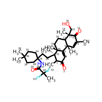 CC1C(=O)C=C2[C@@]3(C)C=C(C#N)C(=O)[C@@](C)(CO)C3CC[C@@]2(C)[C@]1(C)CCC1(NC(=O)C(C)(F)F)CCC(C)(C)CC1